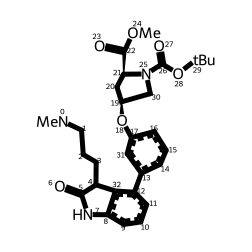 CNCCCC1C(=O)Nc2cccc(-c3cccc(O[C@H]4C[C@@H](C(=O)OC)N(C(=O)OC(C)(C)C)C4)c3)c21